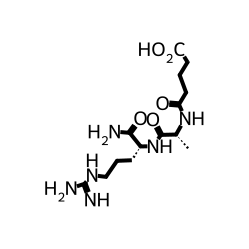 C[C@@H](NC(=O)CCCC(=O)O)C(=O)N[C@H](CCCNC(=N)N)C(N)=O